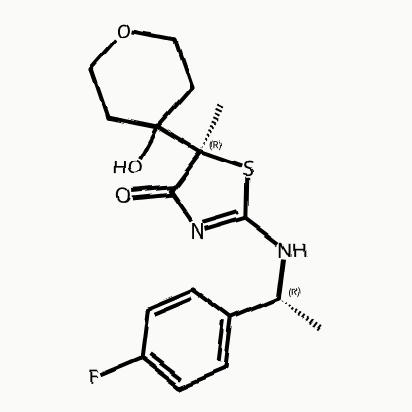 C[C@@H](NC1=NC(=O)[C@@](C)(C2(O)CCOCC2)S1)c1ccc(F)cc1